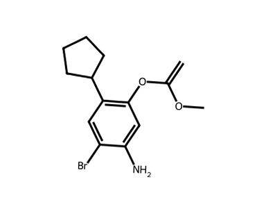 C=C(OC)Oc1cc(N)c(Br)cc1C1CCCC1